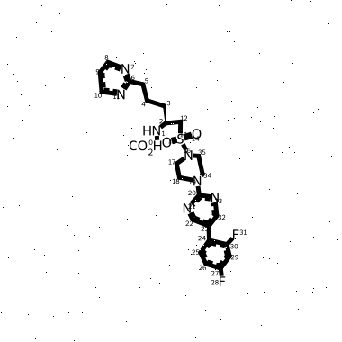 O=C(O)N[C@@H](CCCc1ncccn1)CS(=O)(=O)N1CCN(c2ncc(-c3ccc(F)cc3F)cn2)CC1